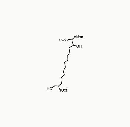 CCCCCCCCCC(CCCCCCCC)C(O)CCCCCCCCCCC(CO)CCCCCCCC